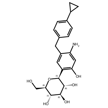 Nc1cc(O)c([C@@H]2O[C@H](CO)[C@@H](O)[C@H](O)[C@H]2O)cc1Cc1ccc(C2CC2)cc1